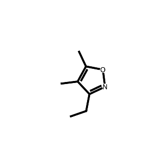 CCc1noc(C)c1C